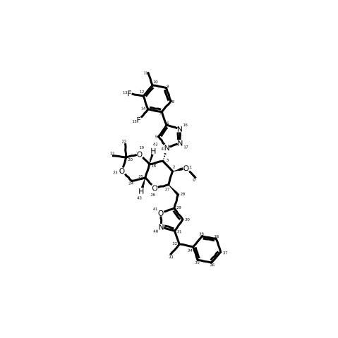 CO[C@@H]1[C@@H](n2cc(-c3ccc(C)c(F)c3F)nn2)[C@H]2OC(C)(C)OC[C@H]2O[C@@H]1Cc1cc(C(C)c2ccccc2)no1